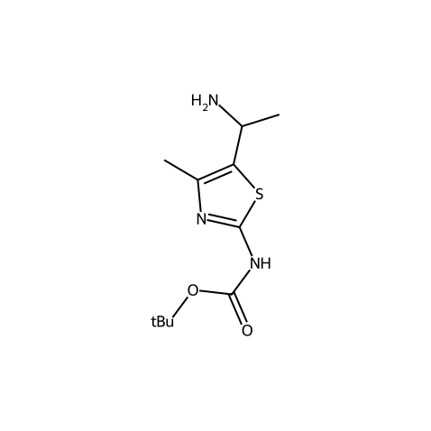 Cc1nc(NC(=O)OC(C)(C)C)sc1C(C)N